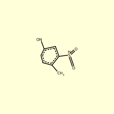 Cc1ccc(N=O)cc1[SH](=O)=O